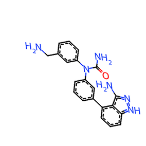 NCc1cccc(N(C(N)=O)c2cccc(-c3cccc4[nH]nc(N)c34)c2)c1